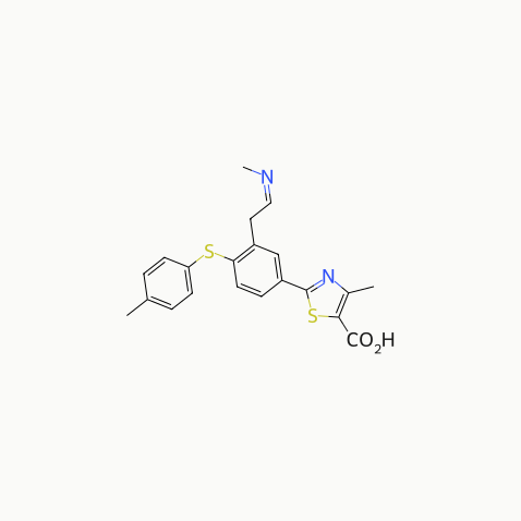 C/N=C\Cc1cc(-c2nc(C)c(C(=O)O)s2)ccc1Sc1ccc(C)cc1